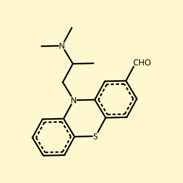 CC(CN1c2ccccc2Sc2ccc(C=O)cc21)N(C)C